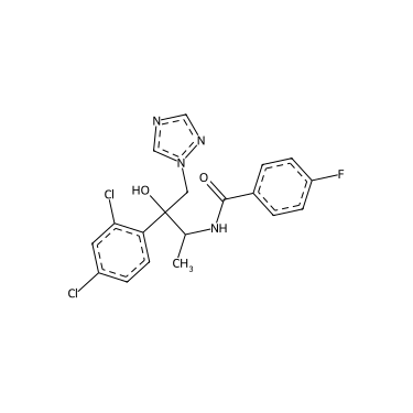 CC(NC(=O)c1ccc(F)cc1)C(O)(Cn1cncn1)c1ccc(Cl)cc1Cl